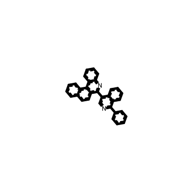 c1ccc(-c2ncc(-c3nc4ccccc4c4c3ccc3ccccc34)c3ccccc23)cc1